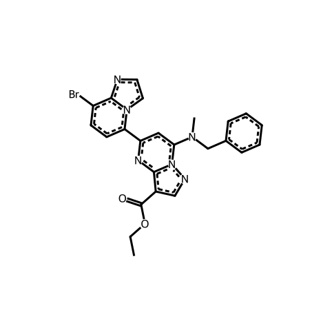 CCOC(=O)c1cnn2c(N(C)Cc3ccccc3)cc(-c3ccc(Br)c4nccn34)nc12